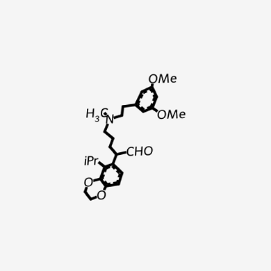 COc1cc(CCN(C)CCCC(C=O)c2ccc3c(c2C(C)C)OCCO3)cc(OC)c1